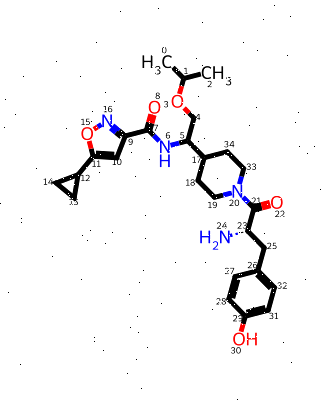 CC(C)OCC(NC(=O)c1cc(C2CC2)on1)C1CCN(C(=O)[C@@H](N)Cc2ccc(O)cc2)CC1